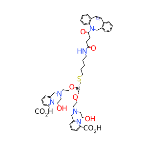 O=C(CCC(=O)N1Cc2ccccc2/C=C\c2ccccc21)NCCCCCSC[C@H](COCCN(CCO)Cc1cccc(C(=O)O)n1)OCCN(CCO)Cc1cccc(C(=O)O)n1